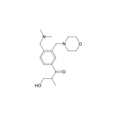 CC(CO)C(=O)c1ccc(CN(C)C)c(CN2CCOCC2)c1